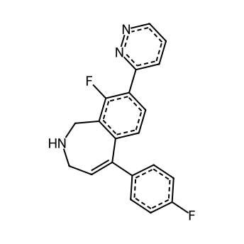 Fc1ccc(C2=CCNCc3c2ccc(-c2cccnn2)c3F)cc1